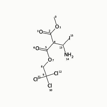 COC(=O)C(C(=O)OCC(Cl)(Cl)Cl)C(N)I